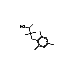 Cc1cc(C)c(CC(C)(C)C(C)O)c(C)c1